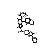 Cc1nc2c(cc(C(=O)N3CCC4(CC3)N=C(O)C(c3ccccc3)=N4)n2C)c(-c2cc(F)c3c(c2C)CCCO3)c1[C@H](OC(C)(C)C)C(=O)O